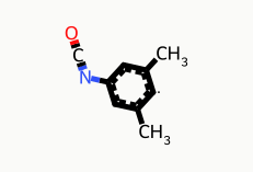 Cc1[c]c(C)cc(N=C=O)c1